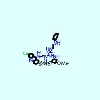 COc1cc(Nc2nc(NCCNc3ccccc3)nc(NCCNc3c4ccc(Cl)cc4nc4ccc(OC)cc34)n2)cc(OC)c1